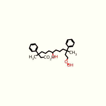 CC(CCCC(O)CCCC(C)(CC(=O)O)c1ccccc1)(CCOO)c1ccccc1